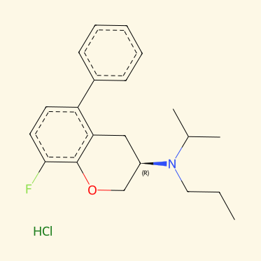 CCCN(C(C)C)[C@H]1COc2c(F)ccc(-c3ccccc3)c2C1.Cl